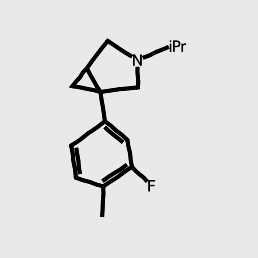 Cc1ccc(C23CC2CN(C(C)C)C3)cc1F